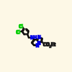 CCOC(=O)c1cnc2c(NCc3ccc(Cl)c(Cl)c3)ccnn12